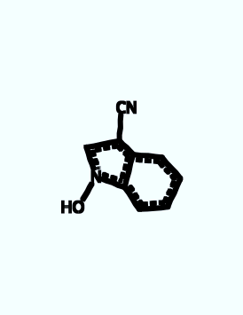 N#Cc1cn(O)c2ccccc12